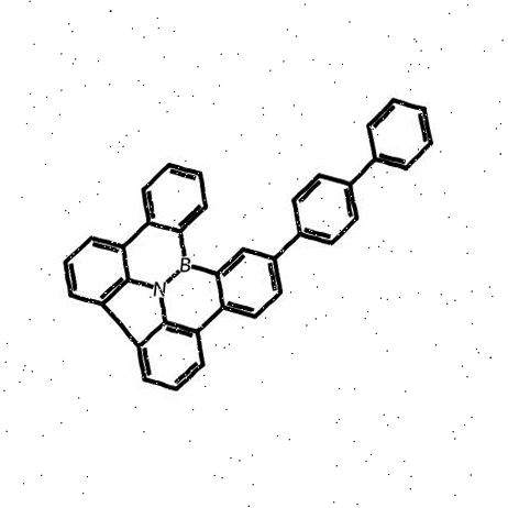 c1ccc(-c2ccc(-c3ccc4c(c3)B3c5ccccc5-c5cccc6c7cccc-4c7n3c56)cc2)cc1